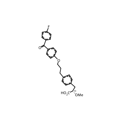 CO[C@@H](Cc1ccc(CCCOc2ccc(C(=O)c3ccc(F)cc3)cc2)cc1)C(=O)O